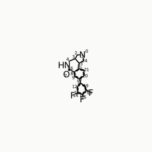 CN1CC2CNC(=O)c3cc(-c4cc(F)c(F)c(F)c4)ccc3C2C1